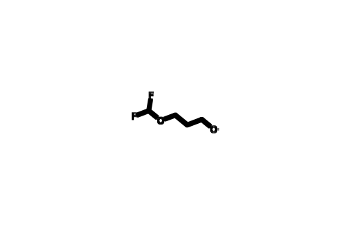 [O]CCCOC(F)F